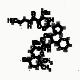 C=CCNC(=O)C(=O)C(CCCC)NC(=O)[C@@H]1CCCN1C(=O)[C@@H](NC(=O)N[C@H](CN1C(=O)CCC(C)(C)C1=O)C(C)(C)C)C1CCCCC1